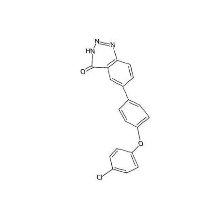 O=c1[nH]nnc2ccc(-c3ccc(Oc4ccc(Cl)cc4)cc3)cc12